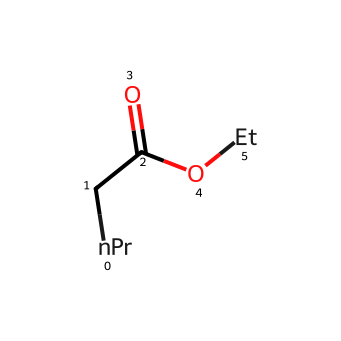 [CH2]CCCC(=O)OCC